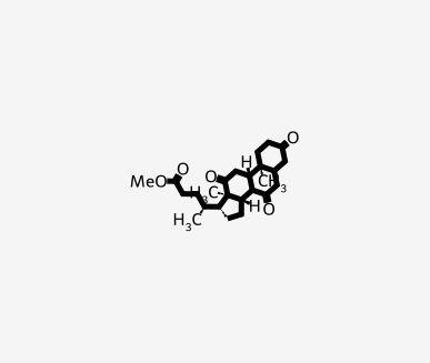 COC(=O)CC[C@@H](C)[C@H]1CC[C@H]2C3C(=O)CC4CC(=O)CC[C@]4(C)[C@H]3CC(=O)[C@]12C